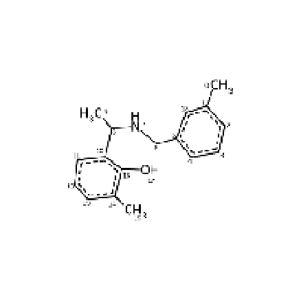 Cc1cccc(CNC(C)c2cccc(C)c2O)c1